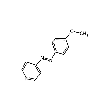 COc1ccc(N=Nc2ccncc2)cc1